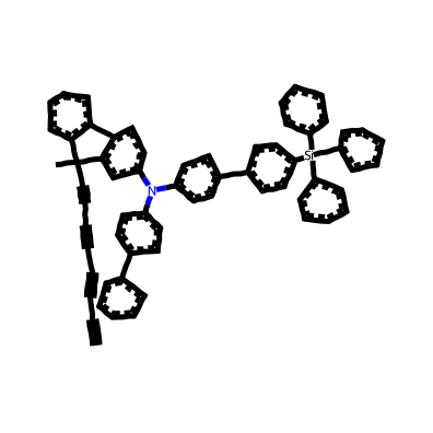 C#CC#CC#CC#CC1(C)c2ccccc2-c2ccc(N(c3ccc(-c4ccccc4)cc3)c3ccc(-c4ccc([Si](c5ccccc5)(c5ccccc5)c5ccccc5)cc4)cc3)cc21